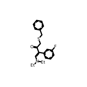 CCN(/C=C(/C(=O)CSCc1ccccc1)c1cccc(F)c1)CC